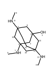 CNC12CC3(O)CC(NC)(C1)CC(NC)(C3)C2